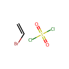 C=CBr.O=S(=O)(Cl)Cl